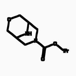 CC(C)OC(=O)N1CC2COCC(C1)N2